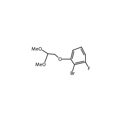 COC(COc1cccc(F)c1Br)OC